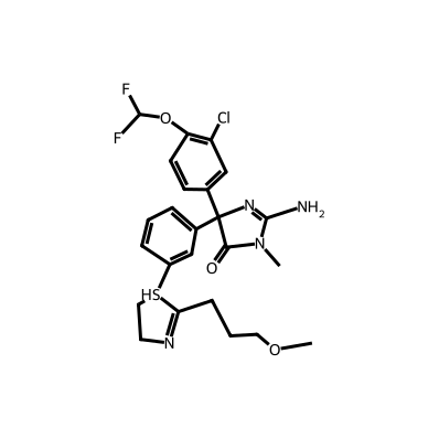 COCCCC1=NCC[SH]1c1cccc(C2(c3ccc(OC(F)F)c(Cl)c3)N=C(N)N(C)C2=O)c1